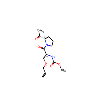 C=CCOC[C@H](NC(=O)OC(C)(C)C)C(=O)N1CCC[C@H]1C(=O)OC